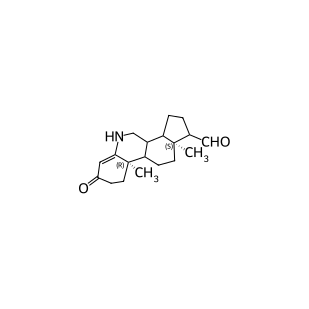 C[C@]12CCC3C(CNC4=CC(=O)CC[C@@]43C)C1CCC2C=O